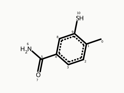 Cc1ccc(C(N)=O)cc1S